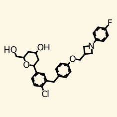 OCC1CC(O)CC(c2ccc(Cl)c(Cc3ccc(OCC4CN(c5ccc(F)cc5)C4)cc3)c2)O1